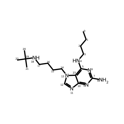 CCCCNc1nc(N)nc2ncn(CCCCNC(C)(C)C)c12